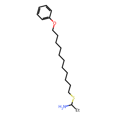 [CH2]CC(N)SCCCCCCCCCCCOc1ccccc1